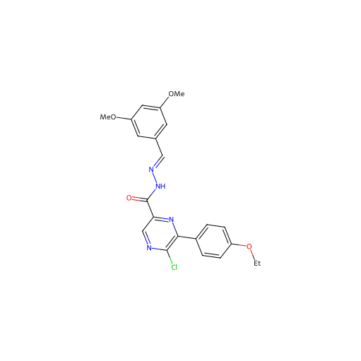 CCOc1ccc(-c2nc(C(=O)N/N=C/c3cc(OC)cc(OC)c3)cnc2Cl)cc1